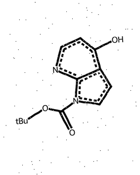 CC(C)(C)OC(=O)n1ccc2c(O)ccnc21